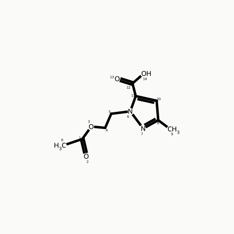 CC(=O)OCCn1nc(C)cc1C(=O)O